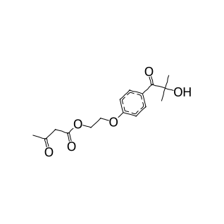 CC(=O)CC(=O)OCCOc1ccc(C(=O)C(C)(C)O)cc1